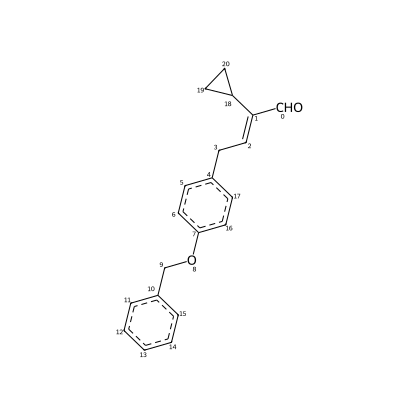 O=C/C(=C/Cc1ccc(OCc2ccccc2)cc1)C1CC1